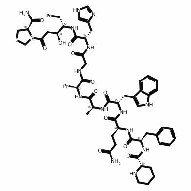 CC(C)C[C@H](NC(=O)[C@H](Cc1c[nH]cn1)NC(=O)CNC(=O)[C@@H](NC(=O)[C@H](C)NC(=O)[C@H](Cc1c[nH]c2ccccc12)NC(=O)[C@H](CCC(N)=O)NC(=O)[C@@H](Cc1ccccc1)NC(=O)[C@@H]1CCCCN1)C(C)C)[C@@H](O)CC(=O)N1CSC[C@H]1C(N)=O